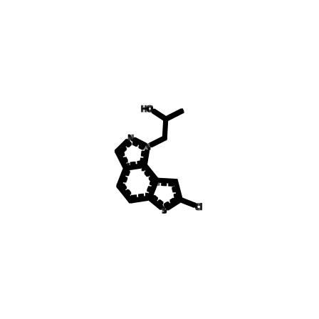 CC(O)Cn1ncc2ccc3sc(Cl)cc3c21